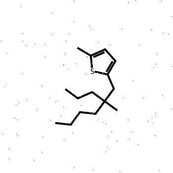 CCCCC(C)(CCC)Cc1ccc(C)s1